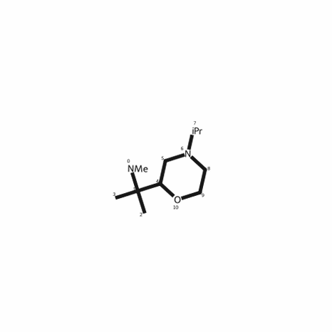 CNC(C)(C)C1CN(C(C)C)CCO1